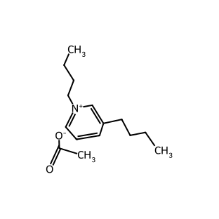 CC(=O)[O-].CCCCc1ccc[n+](CCCC)c1